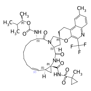 Cc1ccc2nc(C(F)(F)F)c3c(c2c1)CC[C@]1(C[C@H]2C(=O)N[C@]4(C(=O)NS(=O)(=O)C5(C)CC5)C[C@H]4/C=C\CCCCC[C@H](NC(=O)O[C@H](C)C(C)C)C(=O)N2C1)O3